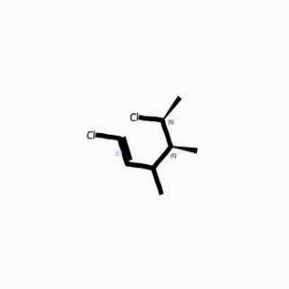 CC(/C=C/Cl)[C@H](C)[C@H](C)Cl